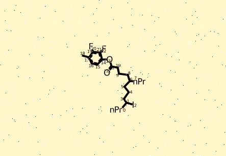 CCCC(I)CCCC(CCC)CCCC(=O)Oc1ccc(C)c(F)c1F